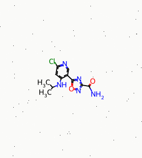 CC(C)Nc1cc(Cl)ncc1-c1nc(C(N)=O)no1